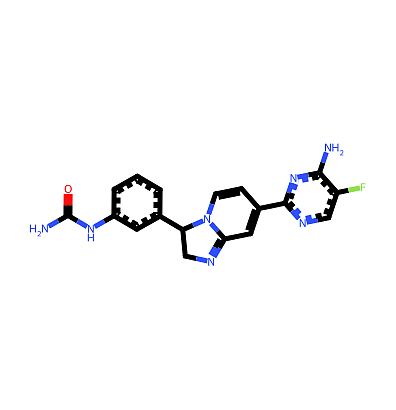 NC(=O)Nc1cccc(C2CN=C3C=C(c4ncc(F)c(N)n4)C=CN32)c1